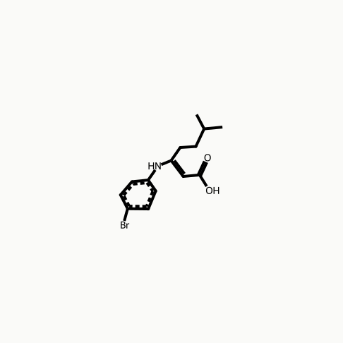 CC(C)CCC(=CC(=O)O)Nc1ccc(Br)cc1